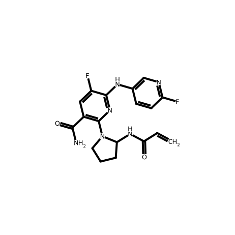 C=CC(=O)NC1CCCN1c1nc(Nc2ccc(F)nc2)c(F)cc1C(N)=O